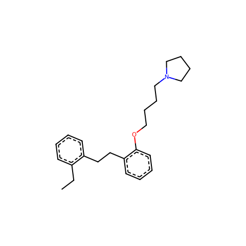 CCc1ccccc1CCc1ccccc1OCCCCN1CCCC1